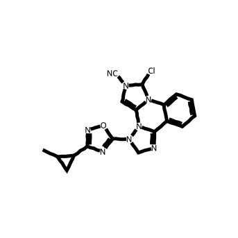 CC1CC1c1noc(N2CN=C3c4ccccc4N4C(=CN(C#N)C4Cl)N32)n1